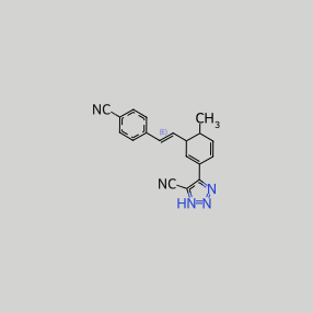 CC1C=CC(c2nn[nH]c2C#N)=CC1/C=C/c1ccc(C#N)cc1